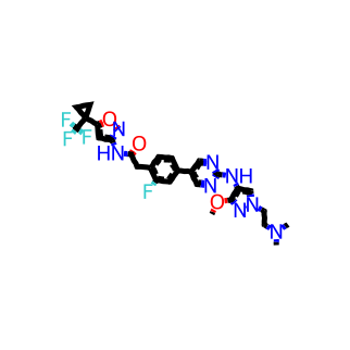 COc1nn(CCN(C)C)cc1Nc1ncc(-c2ccc(CC(=O)Nc3cc(C4(C(F)(F)F)CC4)on3)c(F)c2)cn1